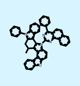 CC1Cc2c(c3ccccc3n2-c2ccccc2)-c2c1c1c3c(ccc1n2-c1nc(-c2ccccc2)c2ccc4ccccc4c2n1)oc1ccccc13